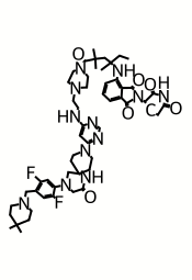 CCC(C)(CC(C)(C)C(=O)N1CCN(CCNc2cc(N3CCC4(CC3)CN(c3cc(F)c(CN5CCC(C)(C)CC5)cc3F)CC(=O)N4)ncn2)CC1)Nc1cccc2c1C(=O)N(C1CCC(=O)NC1=O)C2=O